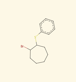 BrC1CCCCCC1Sc1ccccc1